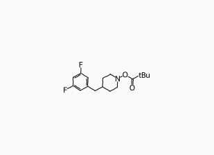 CC(C)(C)C(=O)ON1CCC(Cc2cc(F)cc(F)c2)CC1